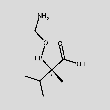 CC(C)[C@](C)(BOCN)C(=O)O